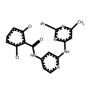 Cc1cc(Nc2cc(NC(=O)c3c(Cl)cccc3Cl)ccn2)nc(C(C)C)n1